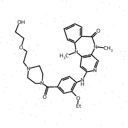 CCOc1cc(C(=O)N2CCN(CCOCCO)CC2)ccc1Nc1cc2c(cn1)N(C)C(=O)c1ccccc1N2C